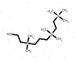 C[N+](C)(CCO)CCC[Si](C)(C)CC[Si](C)(C)C